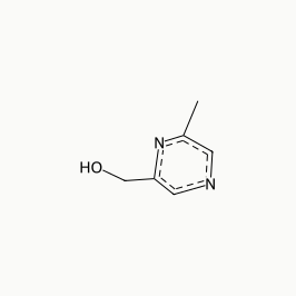 Cc1cncc(CO)n1